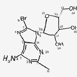 Cc1nc(N)c2nc(Br)n([C@@H]3O[C@H](CO)C(O)C3O)c2n1